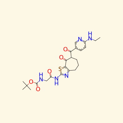 CCNc1ccc(C(=O)C2CCCc3nc(NC(=O)CNC(=O)OC(C)(C)C)sc3C2=O)cn1